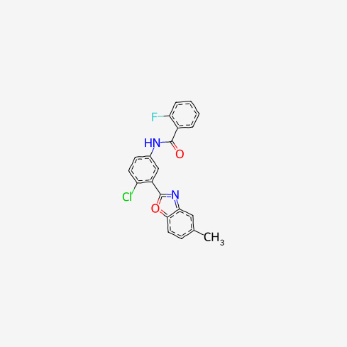 Cc1ccc2oc(-c3cc(NC(=O)c4ccccc4F)ccc3Cl)nc2c1